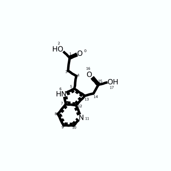 O=C(O)CCc1[nH]c2cccnc2c1CC(=O)O